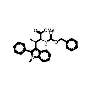 COC(=O)[C@H](NC(=O)OCc1ccccc1)[C@H](C)c1c(-c2ccccc2)n(C)c2ccccc12